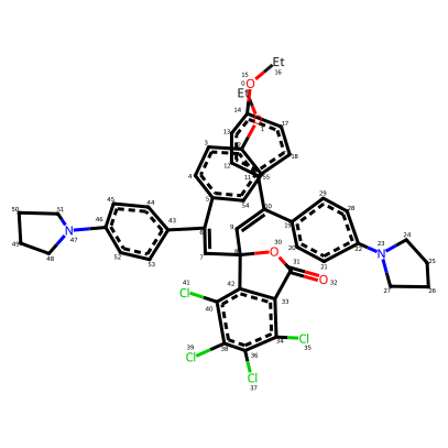 CCOc1ccc(C(=CC2(C=C(c3ccc(OCC)cc3)c3ccc(N4CCCC4)cc3)OC(=O)c3c(Cl)c(Cl)c(Cl)c(Cl)c32)c2ccc(N3CCCC3)cc2)cc1